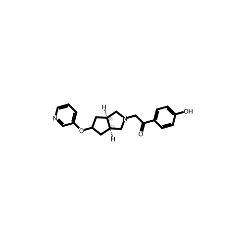 O=C(CN1C[C@H]2CC(Oc3cccnc3)C[C@H]2C1)c1ccc(O)cc1